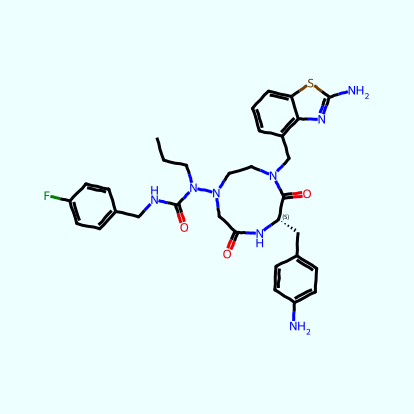 CCCN(C(=O)NCc1ccc(F)cc1)N1CCN(Cc2cccc3sc(N)nc23)C(=O)[C@H](Cc2ccc(N)cc2)NC(=O)C1